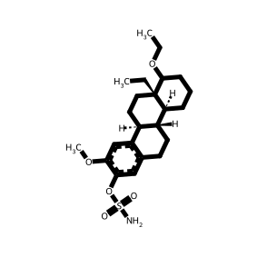 CCOC1CCC[C@H]2[C@@H]3CCc4cc(OS(N)(=O)=O)c(OC)cc4[C@H]3CC[C@]12CC